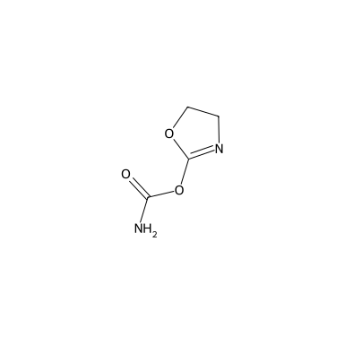 NC(=O)OC1=NCCO1